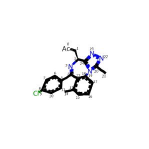 CC(=O)C[C@@H]1N=C(c2ccc(Cl)cc2)c2c(C)cccc2-n2c(C)nnc21